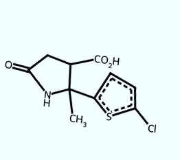 CC1(c2ccc(Cl)s2)NC(=O)CC1C(=O)O